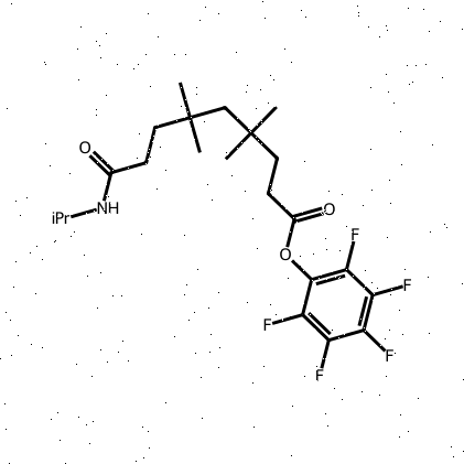 CC(C)NC(=O)CCC(C)(C)CC(C)(C)CCC(=O)Oc1c(F)c(F)c(F)c(F)c1F